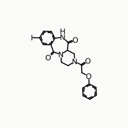 O=C1Nc2ccc(I)cc2C(=O)N2CCN(C(=O)COc3ccccc3)CC12